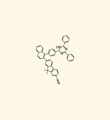 CC1(C)c2cc(C#N)ccc2-c2ccc(-c3ccc4ccccc4c3-c3ccc(C4N=C(c5ccccc5)N=C(c5ccccc5)N4)cc3)cc21